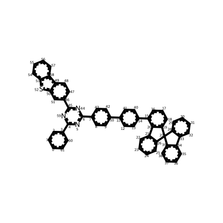 c1ccc(-c2nc(-c3ccc(-c4ccc(-c5cccc6c5-c5ccccc5C65c6ccccc6-c6ccccc65)cc4)cc3)nc(-c3ccc4c(c3)sc3ccccc34)n2)cc1